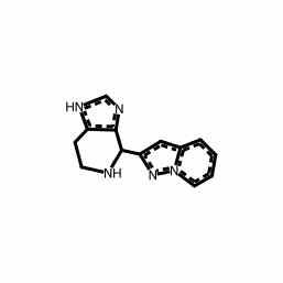 c1ccn2nc(C3NCCc4[nH]cnc43)cc2c1